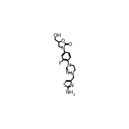 Nc1nc(CN2CCN(c3ccc(N4CC(CO)OC4=O)cc3F)C=N2)cs1